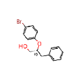 OC[C@@H](Cc1ccccc1)Oc1ccc(Br)cc1